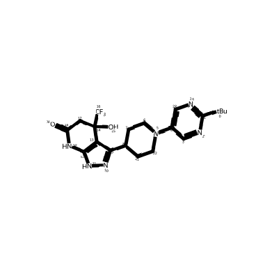 CC(C)(C)c1ncc(N2CCC(c3n[nH]c4c3C(O)(C(F)(F)F)CC(=O)N4)CC2)cn1